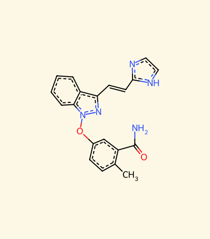 Cc1ccc(On2nc(/C=C/c3ncc[nH]3)c3ccccc32)cc1C(N)=O